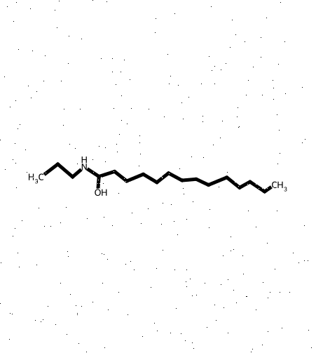 CCCCCCCCCCCCCC(O)NCCC